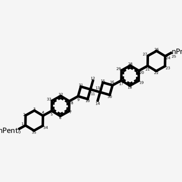 CCCCCC1CCC(c2ccc(C3CC(C)(C4(C)CC(c5ccc(C6CCC(CCC)CC6)cc5)C4)C3)cc2)CC1